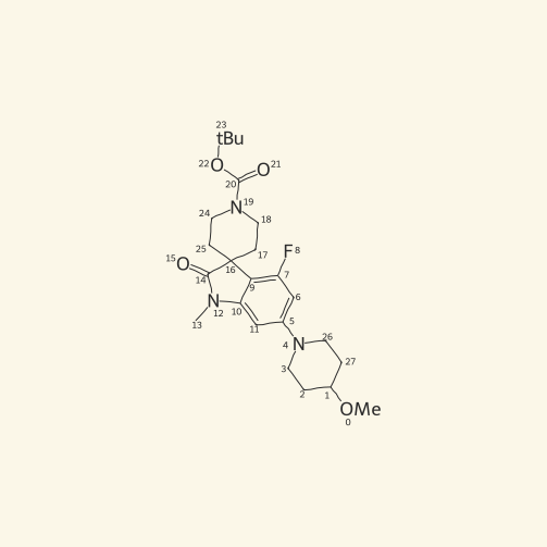 COC1CCN(c2cc(F)c3c(c2)N(C)C(=O)C32CCN(C(=O)OC(C)(C)C)CC2)CC1